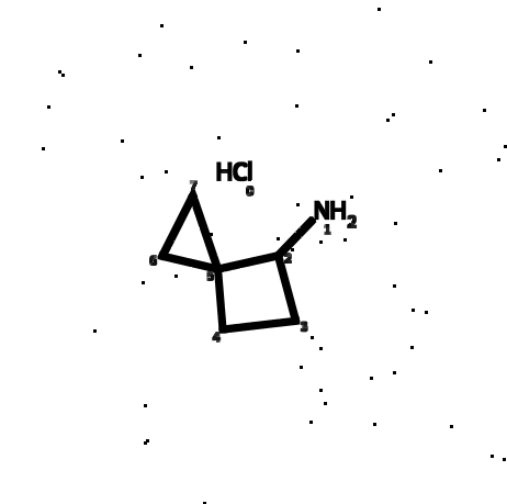 Cl.NC1CCC12CC2